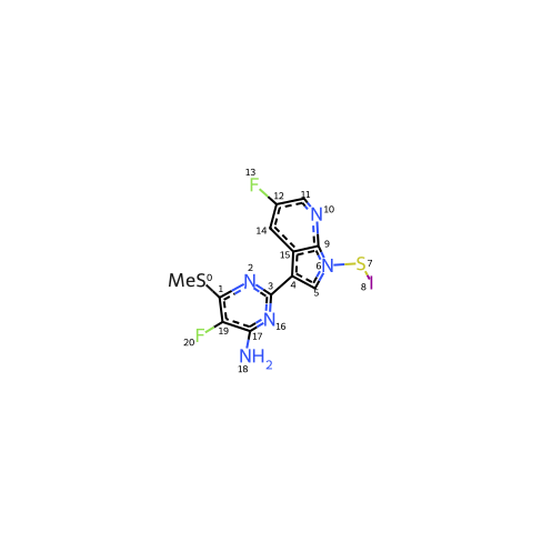 CSc1nc(-c2cn(SI)c3ncc(F)cc23)nc(N)c1F